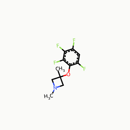 CN1CC(C)(Oc2c(F)cc(F)c(F)c2F)C1